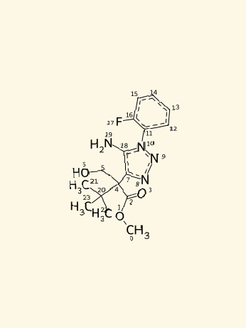 COC(=O)C(CO)(c1nnn(-c2ccccc2F)c1N)C(C)(C)C